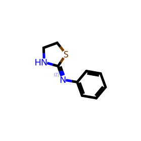 c1ccc(/N=C2/NCCS2)cc1